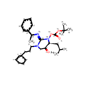 CC(C)C[C@H]1C(=O)CN(CCCc2ccccc2)C(=NC(C)c2ccccc2)N1OC(=O)OC(C)(C)C